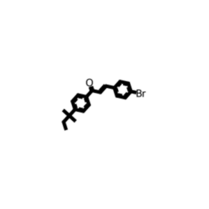 CCC(C)(C)c1ccc(C(=O)C=Cc2ccc(Br)cc2)cc1